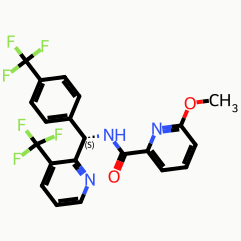 COc1cccc(C(=O)N[C@@H](c2ccc(C(F)(F)F)cc2)c2ncccc2C(F)(F)F)n1